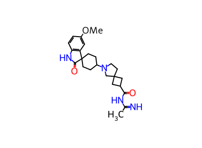 COc1ccc2c(c1)C1(CCC(N3CCC4(CC(C(=O)NC(C)=N)C4)C3)CC1)C(=O)N2